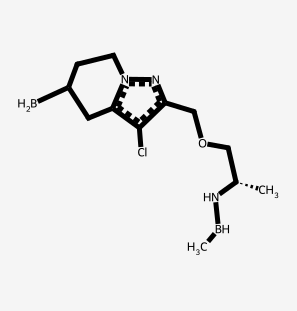 BC1CCn2nc(COC[C@H](C)NBC)c(Cl)c2C1